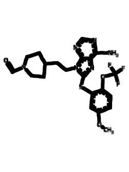 COc1ccc(OC(F)(F)F)c(Sc2nc3c(N)ncnc3n2CCC2CCN(C=O)CC2)c1